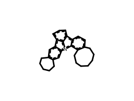 c1cc2c3cc4c(cc3n3c5c6c(ccc5c(c1)c23)CCCCCCC6)CCCCC4